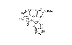 COc1ccc(C2c3c(Cl)ccc(Cl)c3C(=O)N2c2ccc3[nH]cnc3c2)cc1